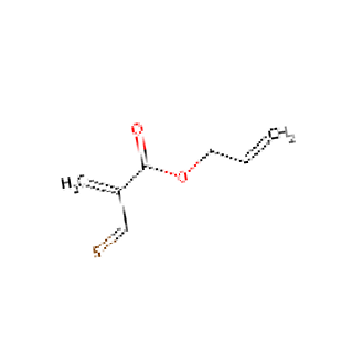 C=CCOC(=O)C(=C)C=S